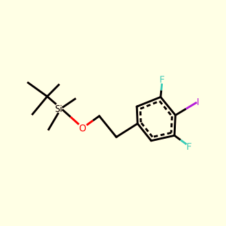 CC(C)(C)[Si](C)(C)OCCc1cc(F)c(I)c(F)c1